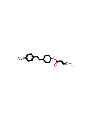 CC=CC(=O)OC1CCC(CCc2ccc(C#N)cc2)CC1